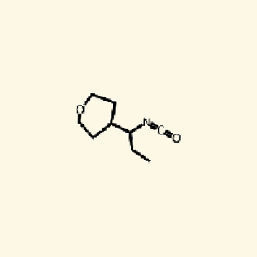 CCC(N=C=O)C1CCOCC1